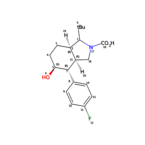 CC(C)(C)C1[C@@H]2CC[C@H](O)[C@@H](c3ccc(F)cc3)[C@@H]2CN1C(=O)O